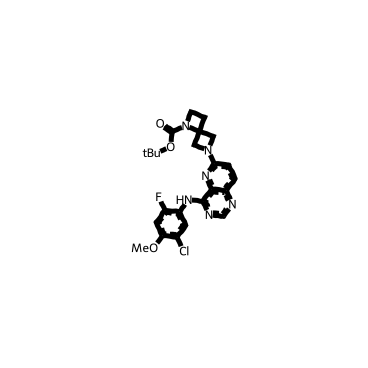 COc1cc(F)c(Nc2ncnc3ccc(N4CC5(CCN5C(=O)OC(C)(C)C)C4)nc23)cc1Cl